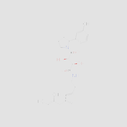 C/C=C(\C)Cc1csc(CCNC(=O)[C@H](O)[C@@H](O)C(=O)N2CCCC2c2cccc(C)c2)c1